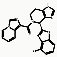 O=C(c1ncn2ccccc12)N1CCc2[nH]cnc2[C@H]1c1nc2c(F)cccc2s1